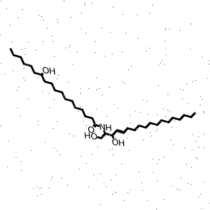 CCCCCCCCCCCCCC=CC(O)C(CO)NC(=O)CCCCCCCCCCC(O)CCCCCC